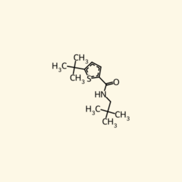 CC(C)(C)CNC(=O)c1ccc(C(C)(C)C)s1